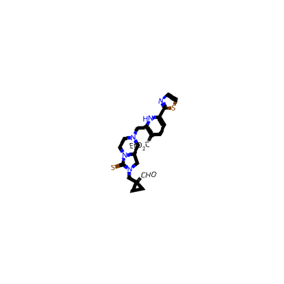 CCOC(=O)C1=C(CN2CCN3C(=S)N(CC4(C=O)CC4)CC3C2)NC(c2nccs2)=CC1